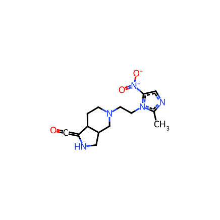 Cc1ncc([N+](=O)[O-])n1CCN1CCC2C(=C=O)NCC2C1